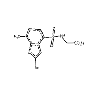 CC(=O)c1cc2c(S(=O)(=O)NCC(=O)O)ccc(C)c2o1